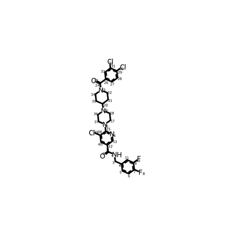 O=C(NCc1ccc(F)c(F)c1)c1cnc(N2CCN(C3CCN(C(=O)c4ccc(Cl)c(Cl)c4)CC3)CC2)c(Cl)c1